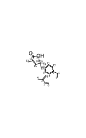 C=CC(=C)C.C=Cc1ccccc1.CC(=CC(C)(C)C)C(=O)O